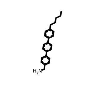 CCCCCc1ccc(-c2ccc(-c3ccc(CN)cc3)cc2)cc1